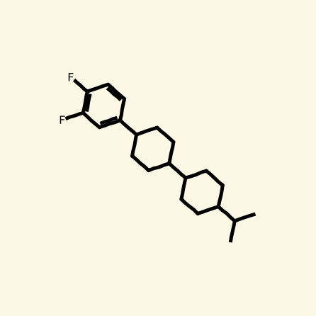 CC(C)C1CCC(C2CCC(c3ccc(F)c(F)c3)CC2)CC1